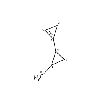 CC1CC1C1=[C]C1